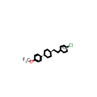 FC(F)(F)Oc1ccc([C@H]2CC[C@H](CCC3CC[SiH](Cl)CC3)CC2)cc1